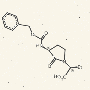 CC[C@@H](C(=O)O)N1CC[C@H](NC(=O)OCc2ccccc2)C1=O